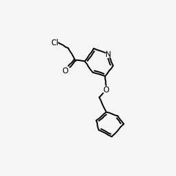 O=C(CCl)c1cncc(OCc2ccccc2)c1